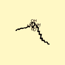 CCCCCCCCCCCCCC(=O)NC(CC(=O)O)C(=O)NCCCCCCCCC